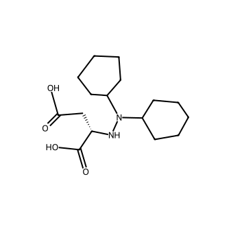 O=C(O)C[C@H](NN(C1CCCCC1)C1CCCCC1)C(=O)O